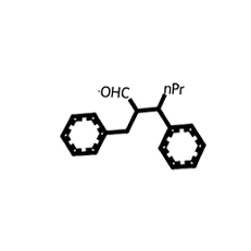 CCCC(c1ccccc1)C([C]=O)Cc1ccccc1